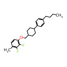 CCCCc1ccc(C2CCC(COc3ccc(C)c(F)c3F)CC2)cc1